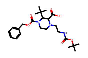 CC(C)(C)OC(=O)NCCN1CCN(C(=O)OCc2ccccc2)C(C(C)(C)C)C1C(=O)O